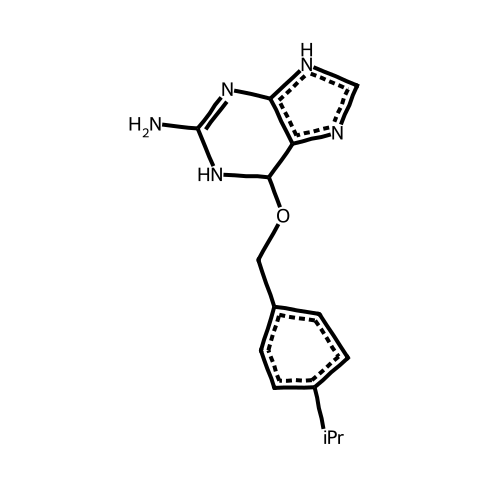 CC(C)c1ccc(COC2NC(N)=Nc3[nH]cnc32)cc1